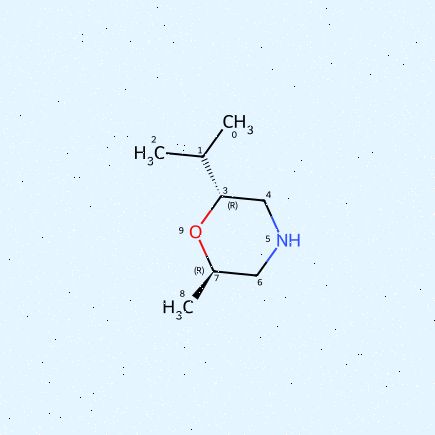 CC(C)[C@@H]1CNC[C@@H](C)O1